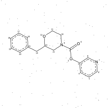 O=C(Oc1cccnc1)N1CCOC(Cc2ccccc2)C1